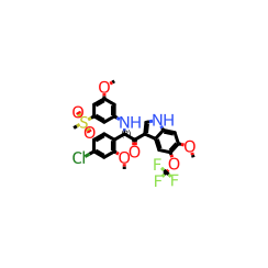 COc1cc(N[C@@H](C(=O)c2c[nH]c3cc(OC)c(OC(F)(F)F)cc23)c2ccc(Cl)cc2OC)cc(S(C)(=O)=O)c1